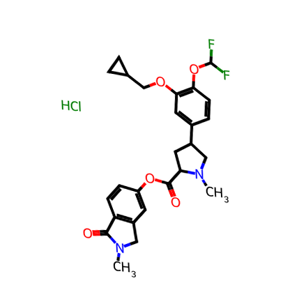 CN1Cc2cc(OC(=O)C3CC(c4ccc(OC(F)F)c(OCC5CC5)c4)CN3C)ccc2C1=O.Cl